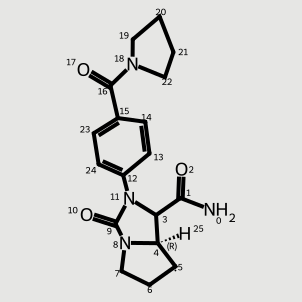 NC(=O)C1[C@H]2[CH]CCN2C(=O)N1c1ccc(C(=O)N2CCCC2)cc1